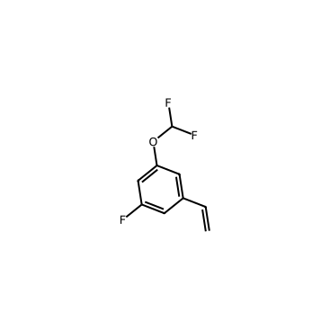 C=Cc1cc(F)cc(OC(F)F)c1